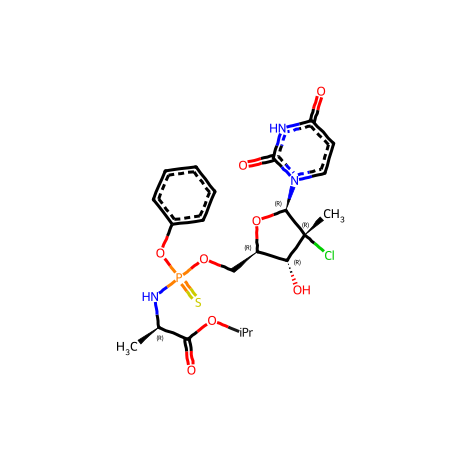 CC(C)OC(=O)[C@@H](C)NP(=S)(OC[C@H]1O[C@@H](n2ccc(=O)[nH]c2=O)[C@](C)(Cl)[C@@H]1O)Oc1ccccc1